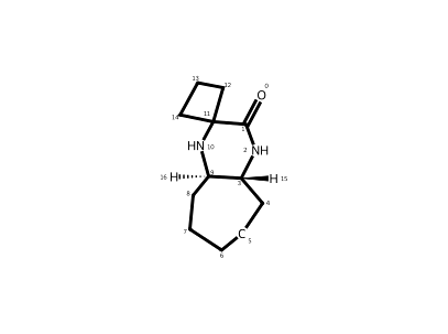 O=C1N[C@@H]2CCCCC[C@H]2NC12CCC2